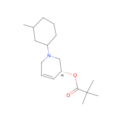 CC1CCCC(N2CC=C[C@@H](OC(=O)C(C)(C)C)C2)C1